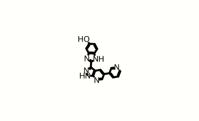 Oc1ccc2[nH]c(-c3n[nH]c4ncc(-c5cccnc5)cc34)nc2c1